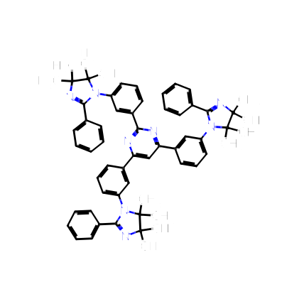 CC1(C)N=C(c2ccccc2)N(c2cccc(-c3cc(-c4cccc(N5C(c6ccccc6)=NC(C)(C)C5(C)C)c4)nc(-c4cccc(N5C(c6ccccc6)=NC(C)(C)C5(C)C)c4)n3)c2)C1(C)C